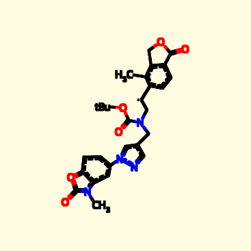 Cc1c([CH]CN(Cc2cnn(-c3ccc4oc(=O)n(C)c4c3)c2)C(=O)OC(C)(C)C)ccc2c1COC2=O